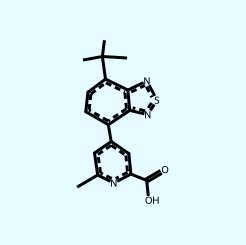 Cc1cc(-c2ccc(C(C)(C)C)c3nsnc23)cc(C(=O)O)n1